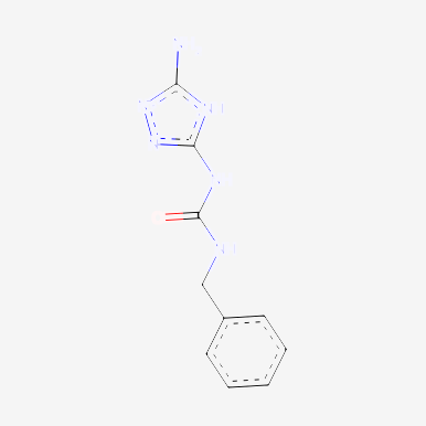 Nc1nnc(NC(=O)NCc2ccccc2)[nH]1